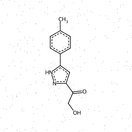 Cc1ccc(-c2cc(C(=O)CO)n[nH]2)cc1